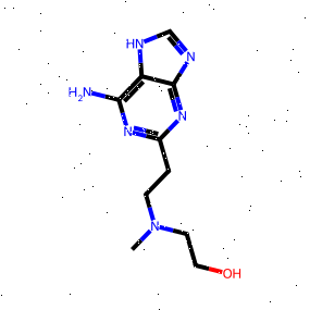 CN(CCO)CCc1nc(N)c2[nH]cnc2n1